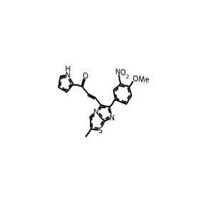 COc1ccc(-c2nc3sc(C)cn3c2C=CC(=O)c2ccc[nH]2)cc1[N+](=O)[O-]